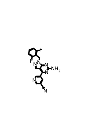 N#Cc1cncc(-c2nc(N)nc3c2cnn3Cc2c(F)cccc2F)c1